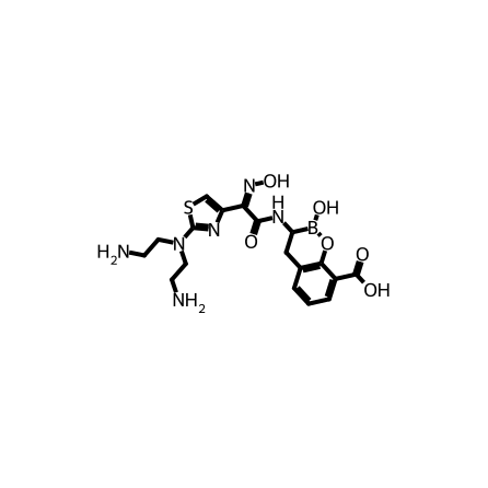 NCCN(CCN)c1nc(C(=NO)C(=O)NC2Cc3cccc(C(=O)O)c3OB2O)cs1